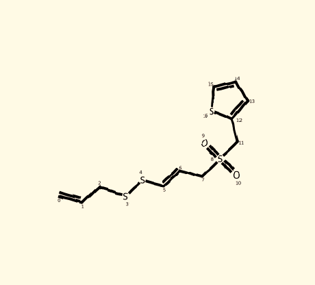 C=CCSSC=CCS(=O)(=O)Cc1cccs1